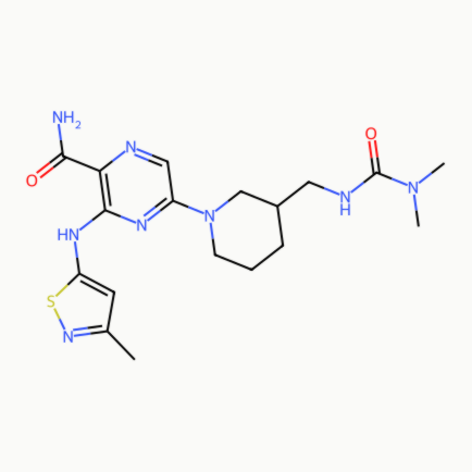 Cc1cc(Nc2nc(N3CCCC(CNC(=O)N(C)C)C3)cnc2C(N)=O)sn1